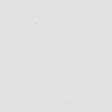 COc1cc2nccc(Oc3ccc(NC(=O)N[C@H](C)c4ccc(F)cc4)cc3)c2c2c1OCCO2